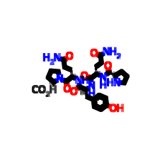 NC(=O)CC[C@H](NC(=O)[C@@H]1CCCN1)C(=O)N[C@@H](Cc1ccc(O)cc1)C(=O)N[C@@H](CCC(N)=O)C(=O)N1CCC[C@H]1C(=O)O